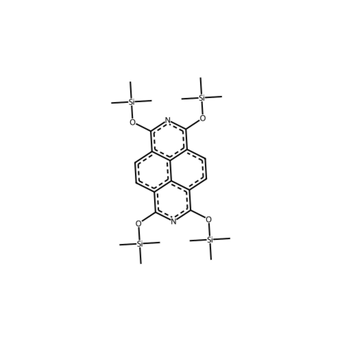 C[Si](C)(C)Oc1nc(O[Si](C)(C)C)c2ccc3c(O[Si](C)(C)C)nc(O[Si](C)(C)C)c4ccc1c2c43